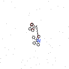 C=C(/C=C/C=C/C=C/C=C/C=C1/N(C)c2c(c3ccccc3c3ccccc23)C1(Cc1ccccc1)Cc1ccccc1)C(Cc1ccccc1)(Cc1ccccc1)c1c(C)c2ccccc2c2ccccc12